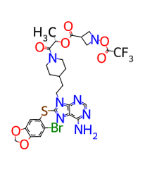 C[C@H](OC(=O)C1CN(OC(=O)C(F)(F)F)C1)C(=O)N1CCC(CCn2c(Sc3cc4c(cc3Br)OCO4)nc3c(N)ncnc32)CC1